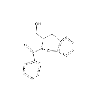 O=C(c1ccccc1)N1Cc2ccccc2CC1CO